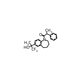 CC(C(=O)N1CCCCc2cc(C(C)(O)C(F)(F)F)ccc21)c1ccccc1